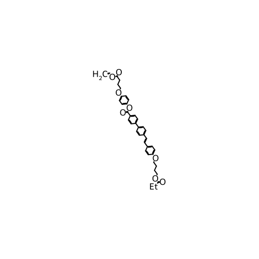 C=COC(=O)CCCOc1ccc(OC(=O)c2ccc(-c3ccc(C=Cc4ccc(OCCCCOC(=O)CC)cc4)cc3)cc2)cc1